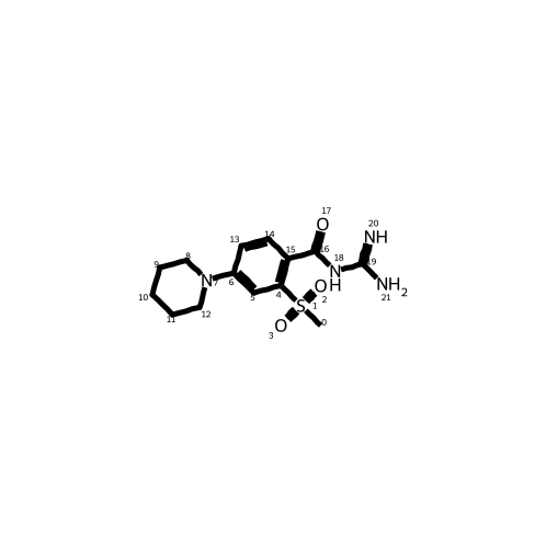 CS(=O)(=O)c1cc(N2CCCCC2)ccc1C(=O)NC(=N)N